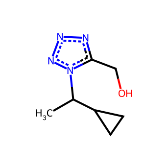 CC(C1CC1)n1nnnc1CO